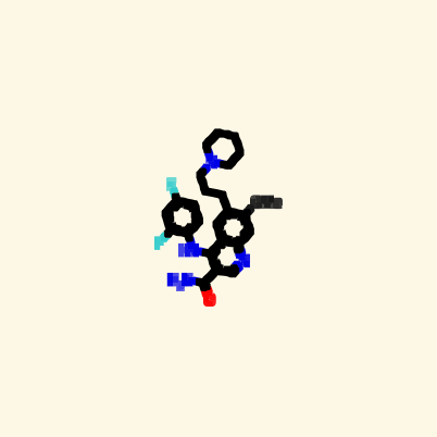 COc1cc2ncc(C(N)=O)c(Nc3ccc(F)cc3F)c2cc1CCCN1CCCCC1